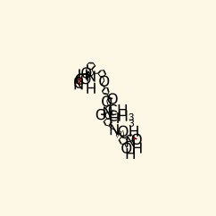 CC(C)N(CCOC(=O)c1ccc(COc2cccc(C(NC(=O)O[C@H]3CN4CCC3CC4)c3ccccc3)c2)cc1)C(=O)c1ccc(CNC[C@H](O)c2ccc(O)c3[nH]c(=O)ccc23)cc1